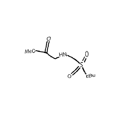 COC(=O)CNS(=O)(=O)C(C)(C)C